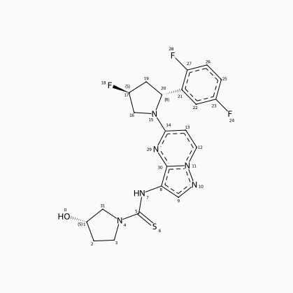 O[C@H]1CCN(C(=S)Nc2cnn3ccc(N4C[C@@H](F)C[C@@H]4c4cc(F)ccc4F)nc23)C1